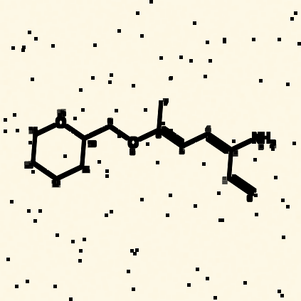 C=C/C(N)=C\C=C(/C)OCC1CCCCO1